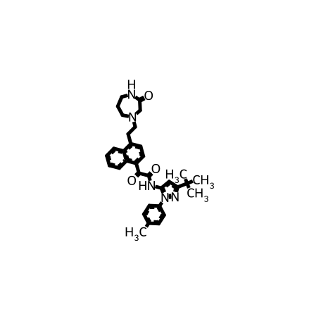 Cc1ccc(-n2nc(C(C)(C)C)cc2NC(=O)C(=O)c2ccc(CCN3CCCNC(=O)C3)c3ccccc23)cc1